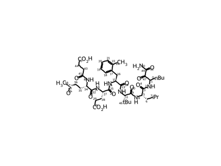 CCCCC(NC(=O)[C@H](CC(C)C)NC(=O)[C@@H](NC(=O)[C@H](Cc1ccccc1C)NC(=O)[C@H](CCC(=O)O)NC(=O)[C@H](CC[S+](C)[O-])NC(=O)CCC(=O)O)C(C)(C)C)C(=O)C(N)=O